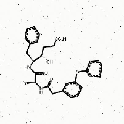 CC(C)[C@H](NC(=O)Cc1cccc(Oc2ccccc2)c1)C(=O)N[C@@H](Cc1ccccc1)[C@@H](O)CCC(=O)O